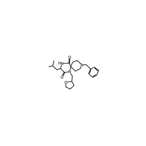 CC(C)CC1NC(=O)C2(CCN(Cc3ccccc3)CC2)N(CC2CCCO2)C1=O